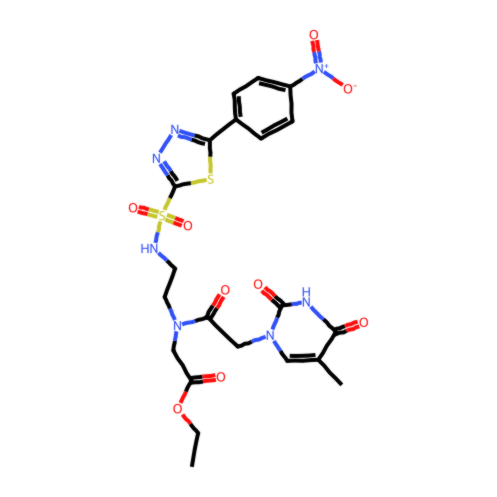 CCOC(=O)CN(CCNS(=O)(=O)c1nnc(-c2ccc([N+](=O)[O-])cc2)s1)C(=O)Cn1cc(C)c(=O)[nH]c1=O